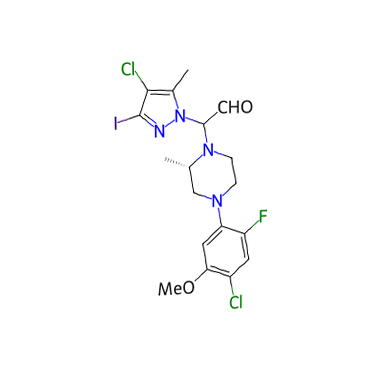 COc1cc(N2CCN(C(C=O)n3nc(I)c(Cl)c3C)[C@@H](C)C2)c(F)cc1Cl